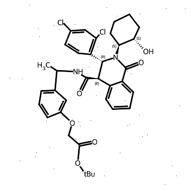 CC(NC(=O)[C@@H]1c2ccccc2C(=O)N([C@H]2CCCC[C@@H]2O)[C@H]1c1ccc(Cl)cc1Cl)c1cccc(OCC(=O)OC(C)(C)C)c1